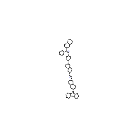 C(=C\c1ccc2cc(-n3c4ccccc4c4ccccc43)ccc2c1)/c1ccc2cc(-c3ccc(/C=C(\c4ccccc4)c4ccc5ccccc5c4)cc3)ccc2c1